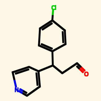 O=CCC(c1ccncc1)c1ccc(Cl)cc1